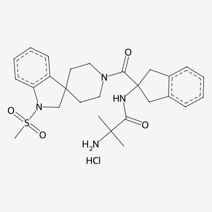 CC(C)(N)C(=O)NC1(C(=O)N2CCC3(CC2)CN(S(C)(=O)=O)c2ccccc23)Cc2ccccc2C1.Cl